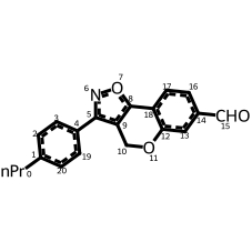 CCCc1ccc(-c2noc3c2COc2cc(C=O)ccc2-3)cc1